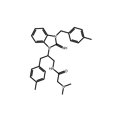 Cc1ccc(CC(CNC(=O)CN(C)C)n2c(=N)n(Cc3ccc(C)cc3)c3ccccc32)cc1